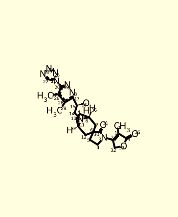 CC1=C(N2CCC3(C[C@H]4CC[C@H](C3)N4C[C@H](O)c3nnc(-n4cnnn4)c(C)c3C)C2=O)COC1=O